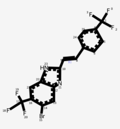 FC(F)(F)c1ccc(/C=C/c2nc3cc(Br)c(C(F)(F)F)cc3[nH]2)cc1